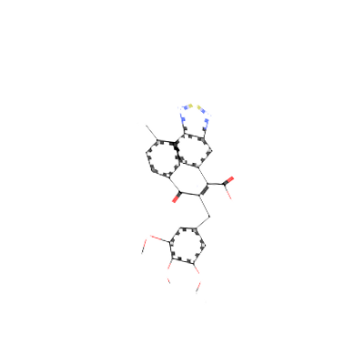 COc1cc(C/C(C(=O)c2ccc(C)cc2)=C(\C(=O)O)c2ccc3nsnc3c2)cc(OC)c1OC